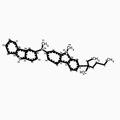 CCCCC(C)(CC)c1ccc2c3ccc(N(C)c4ccc5sc6ccccc6c5c4)cc3n(C)c2c1